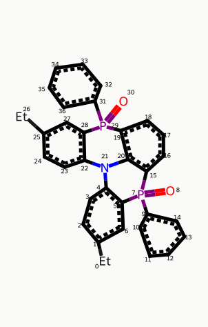 CCc1ccc2c(c1)P(=O)(c1ccccc1)c1cccc3c1N2c1ccc(CC)cc1P3(=O)c1ccccc1